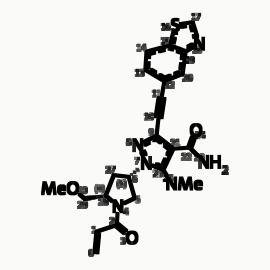 C=CC(=O)N1C[C@@H](n2nc(C#Cc3ccc4scnc4c3)c(C(N)=O)c2NC)C[C@@H]1COC